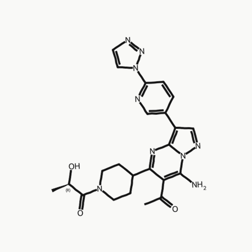 CC(=O)c1c(C2CCN(C(=O)[C@@H](C)O)CC2)nc2c(-c3ccc(-n4ccnn4)nc3)cnn2c1N